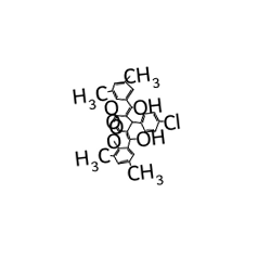 Cc1cc(C)c2oc(=O)c(C(c3ccc(Cl)cc3)c3c(O)c4cc(C)cc(C)c4oc3=O)c(O)c2c1